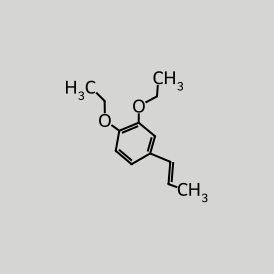 CC=Cc1ccc(OCC)c(OCC)c1